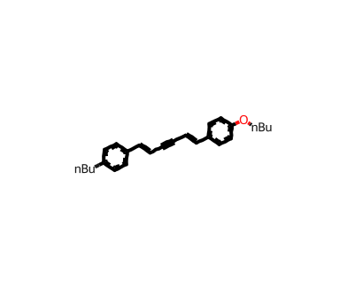 CCCCOc1ccc(C=CC#CC=Cc2ccc(CCCC)cc2)cc1